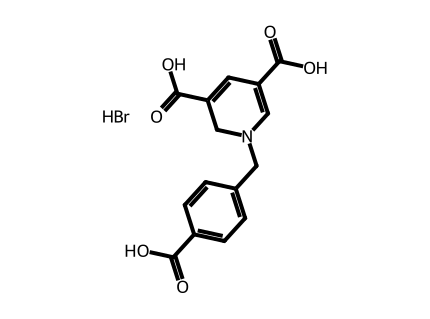 Br.O=C(O)C1=CN(Cc2ccc(C(=O)O)cc2)CC(C(=O)O)=C1